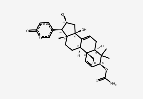 CC1(C)[C@@H](OC(N)=O)C=C[C@]2(CO)[C@H]3CC[C@]4(C)[C@@H](c5ccc(=O)oc5)[C@@H](Cl)C[C@]4(O)C3=CC[C@@H]12